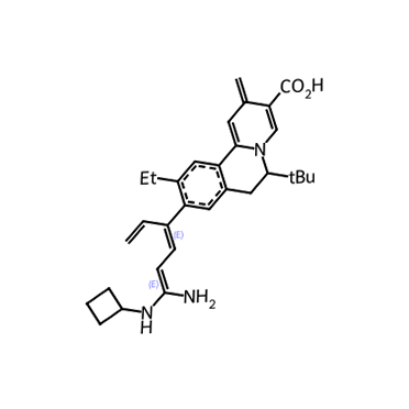 C=C/C(=C\C=C(/N)NC1CCC1)c1cc2c(cc1CC)C1=CC(=C)C(C(=O)O)=CN1C(C(C)(C)C)C2